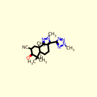 Cn1nnc(-c2c3c(nn2C)[C@@]2(C)CC(C#N)C(=O)C(C)(C)[C@@H]2CC3)n1